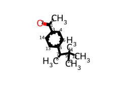 CC(=O)c1ccc(C(C)C(C)(C)C)cc1